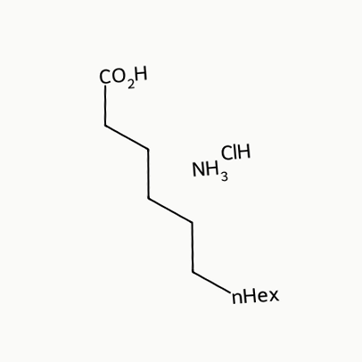 CCCCCCCCCCCC(=O)O.Cl.N